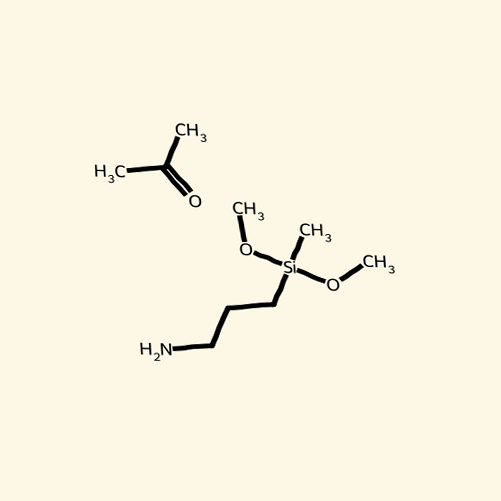 CC(C)=O.CO[Si](C)(CCCN)OC